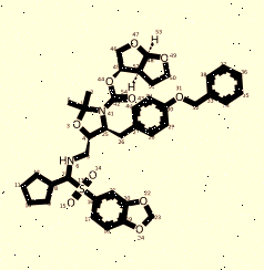 CC1(C)O[C@H](CNC(C2CCCC2)S(=O)(=O)c2ccc3c(c2)OCO3)[C@H](Cc2ccc(OCc3ccccc3)cc2)N1C(=O)O[C@H]1CO[C@H]2OCC[C@H]21